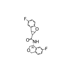 O=C(N[C@H]1COCc2ccc(F)cc21)C1C2Oc3ccc(F)cc3C21